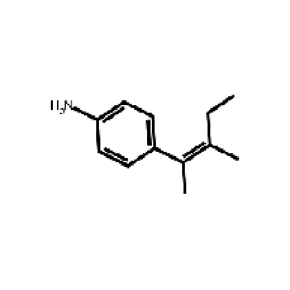 CCC(C)=C(C)c1ccc(N)cc1